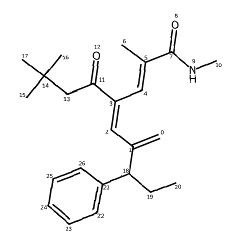 C=C(/C=C(\C=C(/C)C(=O)NC)C(=O)CC(C)(C)C)C(CC)c1ccccc1